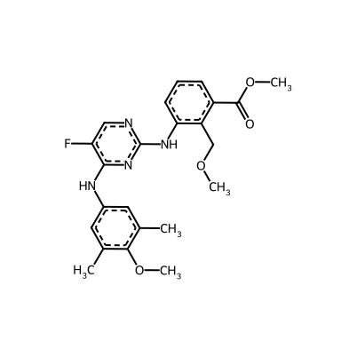 COCc1c(Nc2ncc(F)c(Nc3cc(C)c(OC)c(C)c3)n2)cccc1C(=O)OC